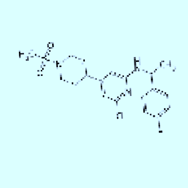 CC(Nc1cc(C2=CCN(S(C)(=O)=O)CC2)cc(Cl)n1)c1ccc(F)cc1